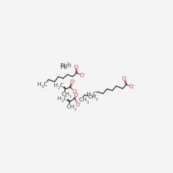 C=C(C)C(=O)[O-].C=C(C)C(=O)[O-].CCC.CCCCCCCC(=O)[O-].CCCCCCCC(=O)[O-].[Pb+2].[Pb+2]